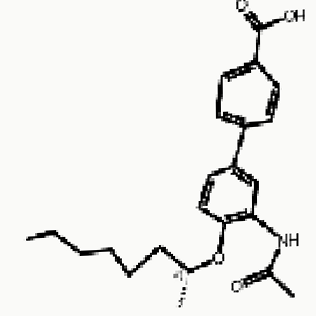 CCCCCC[C@@H](C)Oc1ccc(-c2ccc(C(=O)O)cc2)cc1NC(C)=O